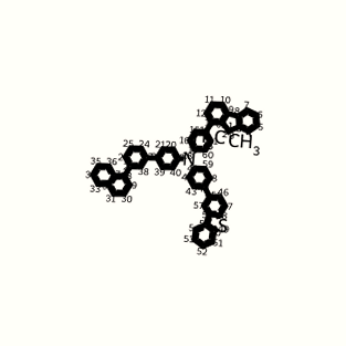 CC1(C)c2ccccc2-c2cccc(-c3ccc(N(c4ccc(-c5cccc(-c6cccc7ccccc67)c5)cc4)c4ccc(-c5ccc6sc7ccccc7c6c5)cc4)cc3)c21